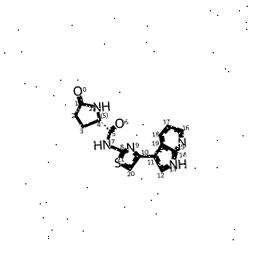 O=C1CC[C@@H](C(=O)Nc2nc(-c3c[nH]c4ncccc34)cs2)N1